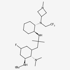 CN1CC(N(CC(F)(F)F)[C@H]2CCCC[C@@H]2NC(C)(C)CC2CC(F)C[C@H](NC(C)(C)C)[C@H]2N(C)C)C1